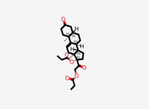 CCC(=O)OCC(=O)[C@]1(OC(=O)CC)CC[C@H]2[C@@H]3CC[C@H]4CC(=O)CC[C@]4(C)C3=CC[C@@]21C